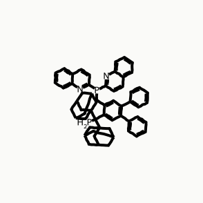 PC(c1cc(-c2ccccc2)c(-c2ccccc2)cc1CP(c1ccc2ccccc2n1)c1ccc2ccccc2n1)(C12CC3CC(CC(C3)C1)C2)C12CC3CC(CC(C3)C1)C2